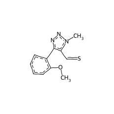 COc1ccccc1-c1nnn(C)c1C=S